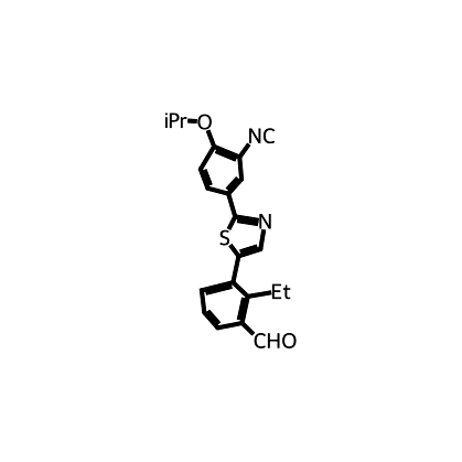 [C-]#[N+]c1cc(-c2ncc(-c3cccc(C=O)c3CC)s2)ccc1OC(C)C